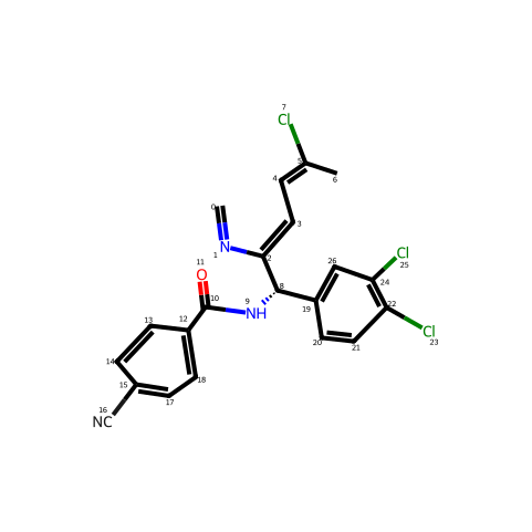 C=N/C(=C\C=C(/C)Cl)[C@@H](NC(=O)c1ccc(C#N)cc1)c1ccc(Cl)c(Cl)c1